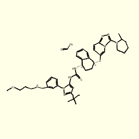 COCCCNCc1cccc(-n2nc(C(C)(C)C)cc2NC(=O)N[C@H]2CC[C@@H](Oc3ccc4nnc(N5CCCCC5C)n4c3)c3ccccc32)c1.O=CO